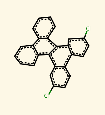 Clc1ccc2c3ccc(Cl)cc3c3c4ccccc4c4ccccc4c3c2c1